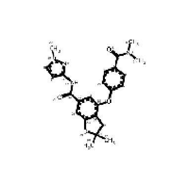 CN(C)C(=O)c1ccc(Oc2cc(C(=O)Nc3ccn(C)n3)cc3c2CC(C)(C)O3)cc1